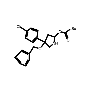 CC(C)(C)C(=O)OC1CC(OCc2ccccc2)(c2ccc(Cl)cc2)CN1